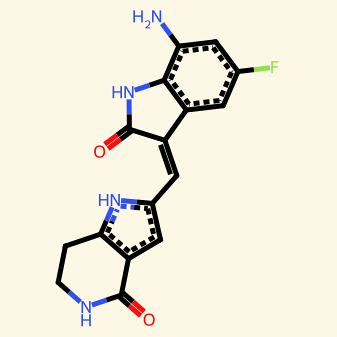 Nc1cc(F)cc2c1NC(=O)/C2=C\c1cc2c([nH]1)CCNC2=O